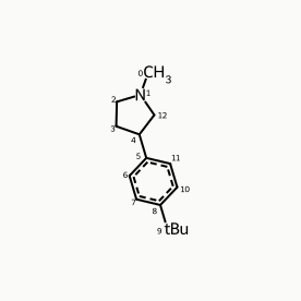 CN1CCC(c2ccc(C(C)(C)C)cc2)C1